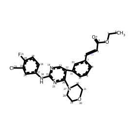 CCOC(=O)/C=C/c1cccc(-c2cnc(Nc3ccc(F)c(Cl)c3)nc2N2CCOCC2)c1